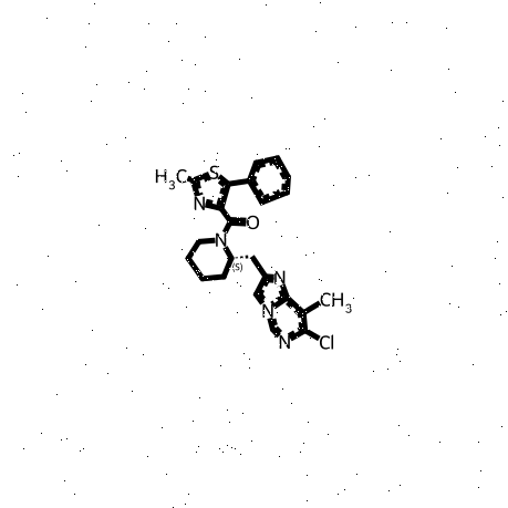 Cc1nc(C(=O)N2CCCC[C@H]2Cc2cn3cnc(Cl)c(C)c3n2)c(-c2ccccc2)s1